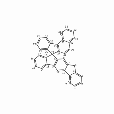 c1cnc2c(c1)Cc1cc3c(cc1-2)-c1ccccc1C31c2ccccc2-c2c1ccc1cccnc21